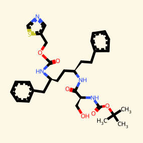 CC(C)(C)OC(=O)N[C@@H](CO)C(=O)N[C@H](CCc1ccccc1)CC[C@@H](Cc1ccccc1)NC(=O)OCc1cncs1